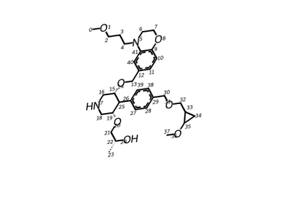 COCCCN1CCOc2ccc(CO[C@H]3CNC[C@@H](OC[C@@H](C)O)C3c3ccc(COCC4CC4OC)cc3)cc21